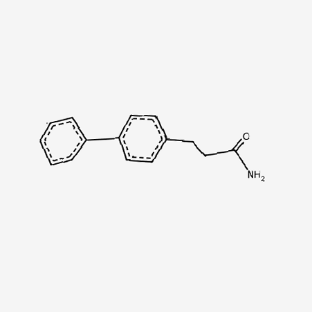 NC(=O)CCc1ccc(-c2c[c]ccc2)cc1